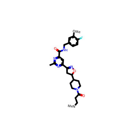 CNCCC(=O)N1CCC(C2CC(c3cc(C(=O)NCc4ccc(F)c(OC)c4)nc(C)n3)=NO2)CC1